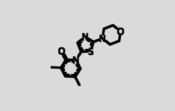 Cc1cc(C)c(=O)n(-c2cnc(N3CCOCC3)s2)c1